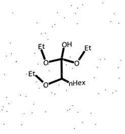 CCCCCCC(OCC)C(O)(OCC)OCC